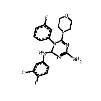 NC1=NC(Nc2ccc(F)c(Cl)c2)N(c2cccc(F)c2)C(N2CCOCC2)=N1